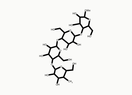 COC1OC(CO)C(OC2OC(CO)C(OC3OC(CO)C(OC4OC(CO)C(C)C(O)C4O)C(O)C3O)C(O)C2O)C(O)C1O